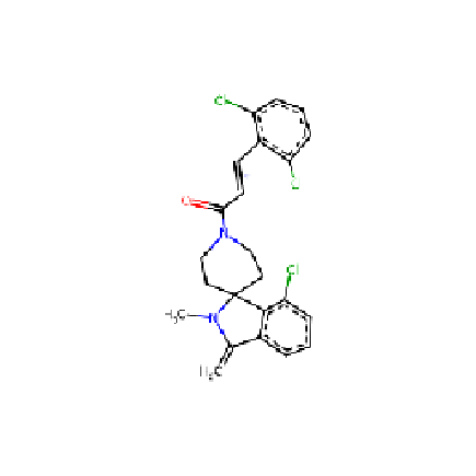 C=C1c2cccc(Cl)c2C2(CCN(C(=O)/C=C/c3c(Cl)cccc3Cl)CC2)N1C